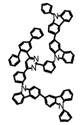 c1ccc(-c2ccc(-c3ccccc3)c(-c3cc(-c4cccc(-n5c6ccccc6c6cc(-c7ccc8c(c7)c7ccccc7n8-c7ccccc7)ccc65)c4)nc(-c4cccc(-n5c6ccccc6c6cc(-c7ccc8c(c7)c7ccccc7n8-c7ccccc7)ccc65)c4)n3)c2)cc1